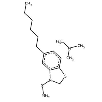 CCCCCCc1ccc2c(c1)N(SN)CS2.CN(C)C